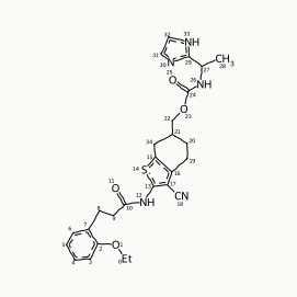 CCOc1ccccc1CCC(=O)Nc1sc2c(c1C#N)CCC(COC(=O)NC(C)c1ncc[nH]1)C2